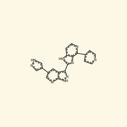 c1cc(-c2nccc3[nH]c(-c4n[nH]c5ncc(-c6cn[nH]c6)cc45)nc23)ccn1